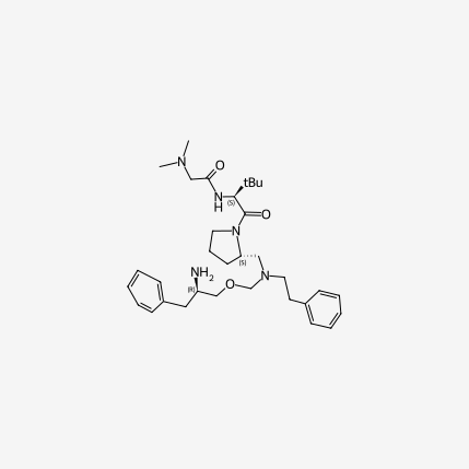 CN(C)CC(=O)N[C@H](C(=O)N1CCC[C@H]1CN(CCc1ccccc1)COC[C@H](N)Cc1ccccc1)C(C)(C)C